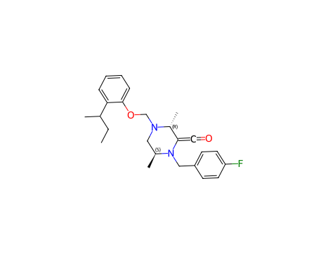 CCC(C)c1ccccc1OCN1C[C@H](C)N(Cc2ccc(F)cc2)C(=C=O)[C@H]1C